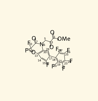 COC(=O)C(=O)CN1C(=O)C(F)(F)Oc2cc(F)c(-c3c(F)c(F)c(F)c(F)c3F)cc21